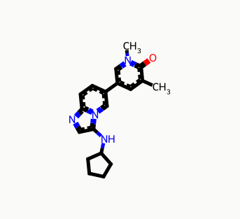 Cc1cc(-c2ccc3ncc(NC4CCCC4)n3c2)cn(C)c1=O